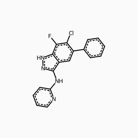 Fc1c(Cl)c(-c2ccccc2)cc2c(Nc3ccccn3)n[nH]c12